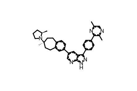 Cc1cnc(C)c(-c2ccc(-c3n[nH]c4ncc(-c5ccc6c(c5)CC[C@@](C)(N5CCC[C@H]5C)CC6)cc34)cc2)n1